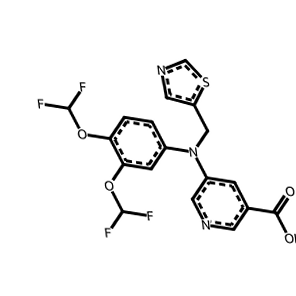 O=C(O)c1cncc(N(Cc2cncs2)c2ccc(OC(F)F)c(OC(F)F)c2)c1